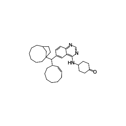 O=C1CCC(Nc2ncnc3ccc(C(C4/C=C\CCCCCC4)C45CCCCCCC(CC4)C5)cc23)CC1